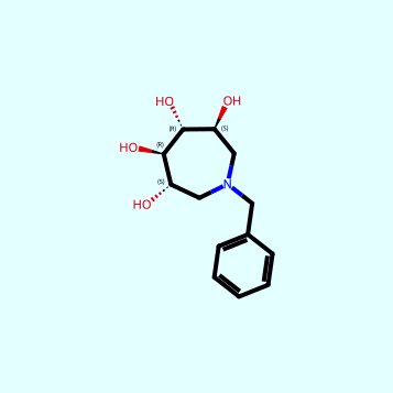 O[C@H]1[C@H](O)[C@@H](O)CN(Cc2ccccc2)C[C@@H]1O